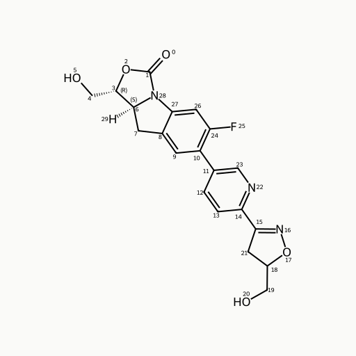 O=C1O[C@@H](CO)[C@@H]2Cc3cc(-c4ccc(C5=NOC(CO)C5)nc4)c(F)cc3N12